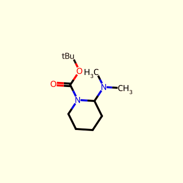 CN(C)C1CCCCN1C(=O)OC(C)(C)C